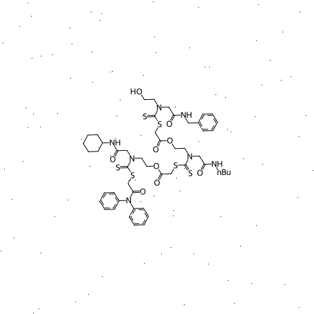 CCCCNC(=O)CN(CCOC(=O)CSC(=S)N(CCO)CC(=O)NCc1ccccc1)C(=S)SCC(=O)OCCN(CC(=O)NC1CCCCC1)C(=S)SCC(=O)N(c1ccccc1)c1ccccc1